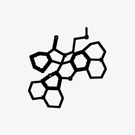 COCCN1C(=O)c2ccccc2C12c1cc3c4c(c1Oc1c2cc2c5c1CCCN5CCC2)CCCN4CCC3